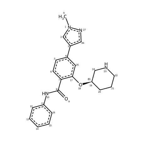 Cn1cc(-c2ccc(C(=O)Nc3ccccc3)c(O[C@@H]3CCCNC3)c2)cn1